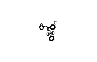 CN1CCC[C@@H]1Cc1cn(S(=O)(=O)c2ccccc2)c2ccc(Cl)cc12